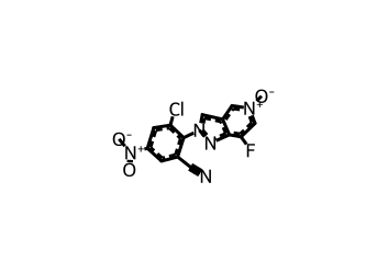 N#Cc1cc([N+](=O)[O-])cc(Cl)c1-n1cc2c[n+]([O-])cc(F)c2n1